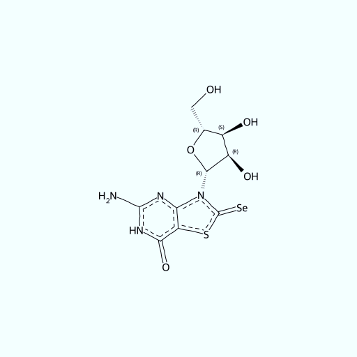 Nc1nc2c(sc(=[Se])n2[C@@H]2O[C@H](CO)[C@@H](O)[C@H]2O)c(=O)[nH]1